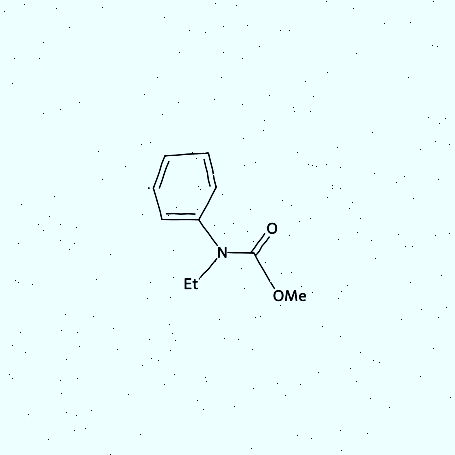 CCN(C(=O)OC)c1c[c]ccc1